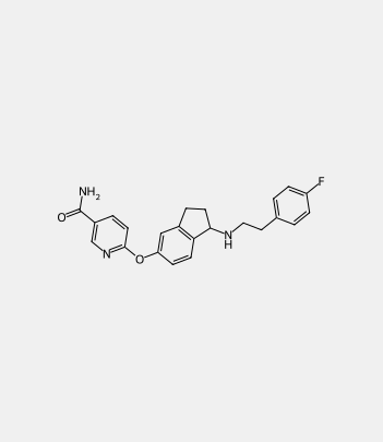 NC(=O)c1ccc(Oc2ccc3c(c2)CCC3NCCc2ccc(F)cc2)nc1